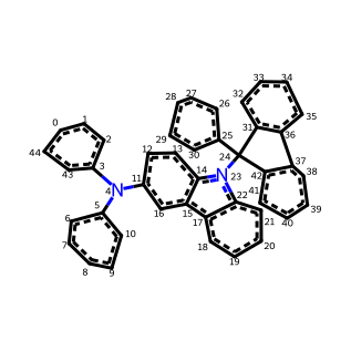 c1ccc(N(c2ccccc2)c2ccc3c(c2)c2ccccc2n3C2(c3ccccc3)c3ccccc3-c3ccccc32)cc1